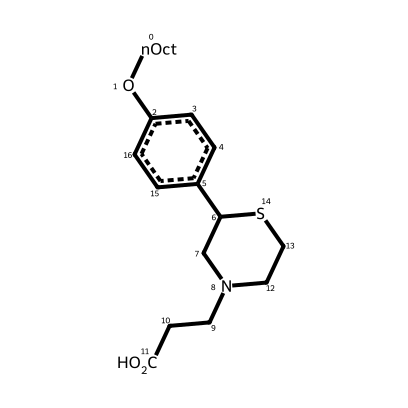 CCCCCCCCOc1ccc(C2CN(CCC(=O)O)CCS2)cc1